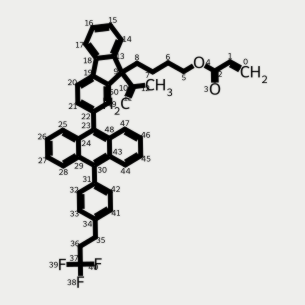 C=CC(=O)OCCCCC1(C(=C)C)c2ccccc2-c2ccc(-c3c4ccccc4c(-c4ccc(CCC(F)(F)F)cc4)c4ccccc34)cc21